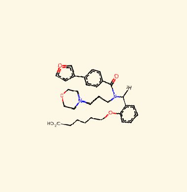 [2H]C(c1ccccc1OCCCCCC(=O)O)N(CCCN1CCOCC1)C(=O)c1ccc(-c2ccoc2)cc1